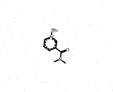 CN(C)C(=O)c1ccc[n+](C(C)(C)C)c1